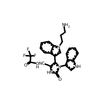 N#Cc1[nH]c(=O)n(-c2c[nH]c3ccccc23)c1-c1cn(CCCN)c2ccccc12.O=C(O)C(F)(F)F